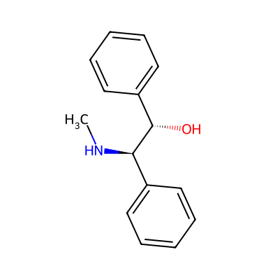 CN[C@H](c1ccccc1)[C@@H](O)c1ccccc1